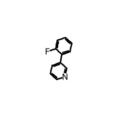 Fc1ccccc1-c1cccnc1